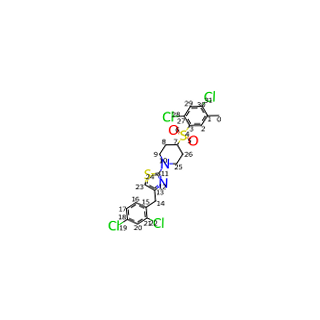 Cc1cc(S(=O)(=O)C2CCN(c3nc(Cc4ccc(Cl)cc4Cl)cs3)CC2)c(Cl)cc1Cl